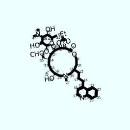 CCC(=O)O[C@@H]1CC(=O)OCCC(CCCc2ccnc3ccccc23)CN(C)C[C@H](O)[C@H](C)C[C@H](CC=O)[C@H](O[C@@H]2OC(C)[C@@H](O)C(N(C)C)C2O)[C@H]1OC